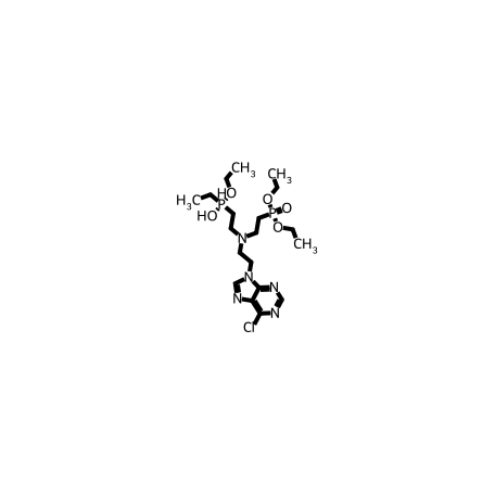 CCOP(=O)(CCN(CCn1cnc2c(Cl)ncnc21)CC[PH](O)(CC)OCC)OCC